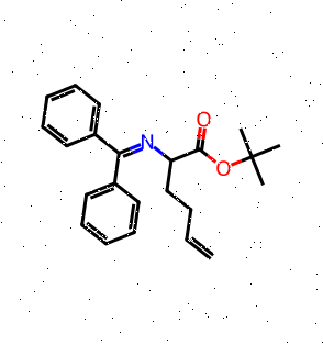 C=CCCC(N=C(c1ccccc1)c1ccccc1)C(=O)OC(C)(C)C